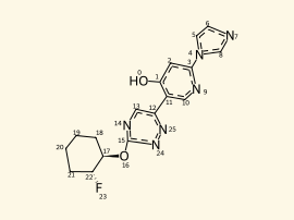 Oc1cc(-n2ccnc2)ncc1-c1cnc(O[C@@H]2CCCC[C@H]2F)nn1